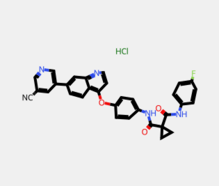 Cl.N#Cc1cncc(-c2ccc3c(Oc4ccc(NC(=O)C5(C(=O)Nc6ccc(F)cc6)CC5)cc4)ccnc3c2)c1